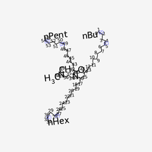 CCCC/C=C\C/C=C\CCCCCCCCCCC(CCCCCCCCCC/C=C\C/C=C\CCCCCC)N(CCCN(C)C)C(=O)CCCCCCC/C=C\CC/C=C\CCCCC